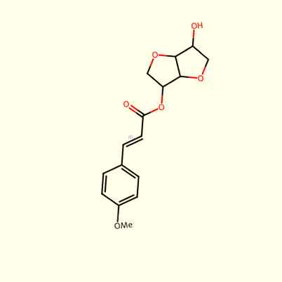 COc1ccc(/C=C/C(=O)OC2COC3C(O)COC23)cc1